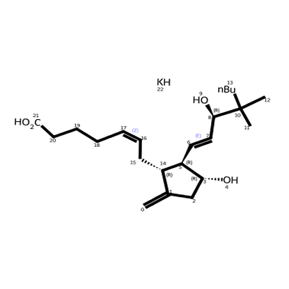 C=C1C[C@@H](O)[C@H](/C=C/[C@@H](O)C(C)(C)CCCC)[C@H]1C/C=C\CCCC(=O)O.[KH]